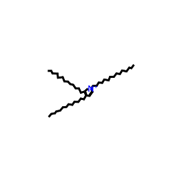 CCCCCCCCCCCCCCC[n+]1ccc(CCCCCCCCCCCCC)c(CCCCCCCCCCCCC)c1